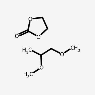 COCC(C)OC.O=C1OCCO1